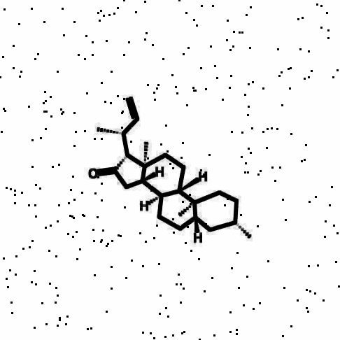 C=C[C@@H](C)[C@H]1C(=O)C[C@H]2[C@@H]3CC[C@H]4C[C@@H](C)CC[C@]4(C)[C@H]3CC[C@]12C